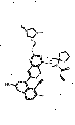 C#Cc1c(F)ccc2cc(O)cc(C3=Cc4nc(OC[C@@H]5C[C@@H](F)CN5C)nc(NCC5(N(C)C(=O)C=C)CCCC5)c4CC3)c12